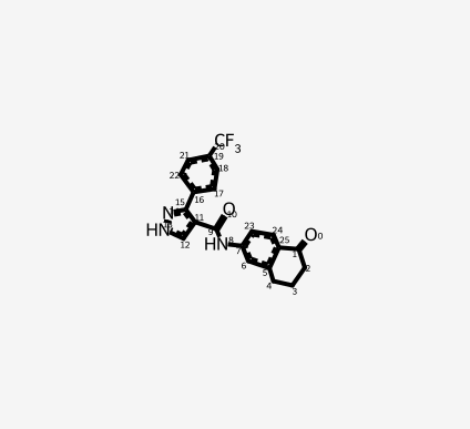 O=C1CCCc2cc(NC(=O)c3c[nH]nc3-c3ccc(C(F)(F)F)cc3)ccc21